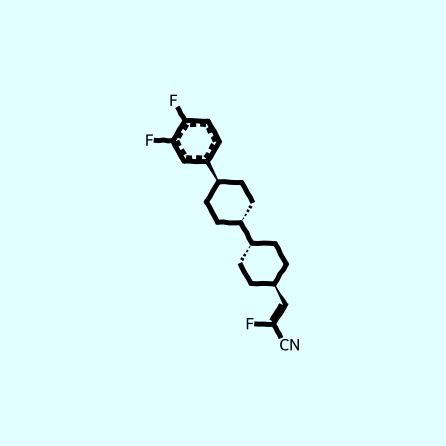 N#CC(F)=C[C@H]1CC[C@H]([C@H]2CC[C@H](c3ccc(F)c(F)c3)CC2)CC1